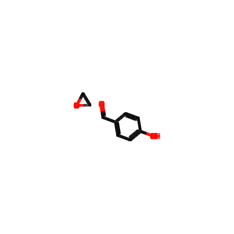 C1CO1.O=Cc1ccc(O)cc1